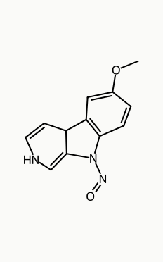 COc1ccc2c(c1)C1C=CNC=C1N2N=O